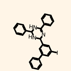 Ic1cc(-c2ccccc2)cc(C2N=C(c3ccccc3)NC(c3ccccc3)N2)c1